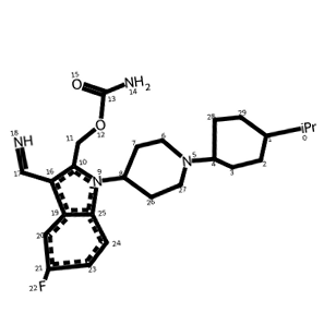 CC(C)C1CCC(N2CCC(n3c(COC(N)=O)c(C=N)c4cc(F)ccc43)CC2)CC1